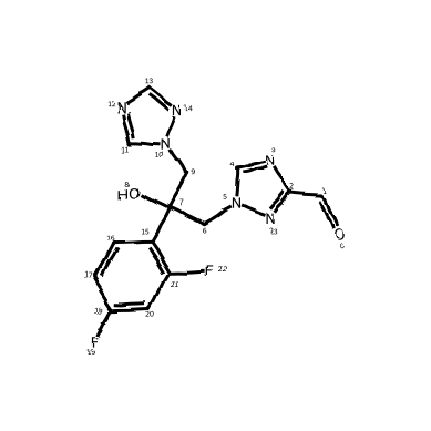 O=Cc1ncn(CC(O)(Cn2cncn2)c2ccc(F)cc2F)n1